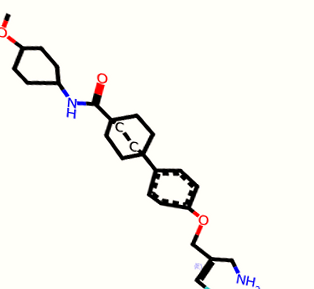 COC1CCC(NC(=O)C23CCC(c4ccc(OC/C(=C/F)CN)cc4)(CC2)CC3)CC1